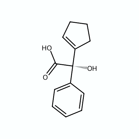 O=C(O)[C@@](O)(C1=CCCC1)c1ccccc1